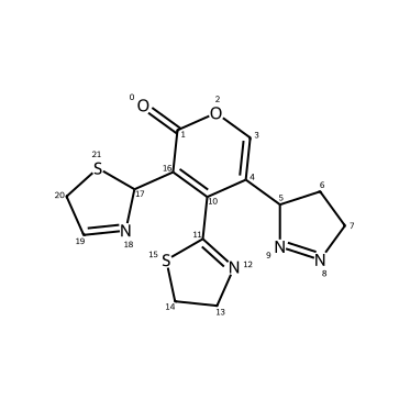 O=c1occ(C2CCN=N2)c(C2=NCCS2)c1C1N=CCS1